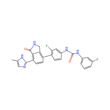 Cc1cnc(-c2ccc(-c3ccc(NC(=O)Nc4cccc(F)c4)cc3F)c3c2C(=O)NC3)[nH]1